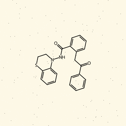 O=C(Cc1ccccc1C(=O)NN1CCSc2ccccc21)c1ccccc1